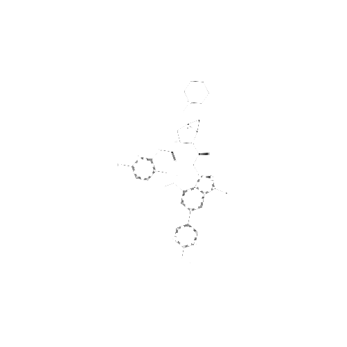 CC(=O)c1nn(CC(=O)N2C3C[C@]3(CN3CCCCC3)C[C@H]2C(=O)Nc2nc(Br)ccc2C)c2c(CF)cc(-c3cnc(C)nc3)cc12